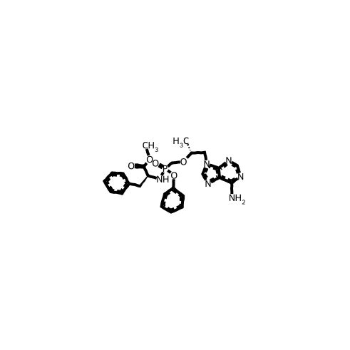 COC(=O)[C@H](Cc1ccccc1)NP(=O)(CO[C@H](C)Cn1cnc2c(N)ncnc21)Oc1ccccc1